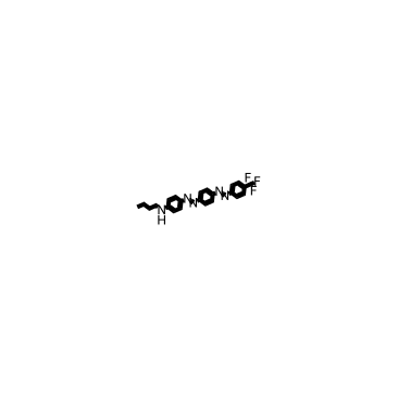 CCCCNc1ccc(N=Nc2ccc(N=Nc3ccc(C(F)(F)F)cc3)cc2)cc1